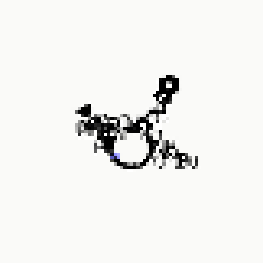 CC(C)(C)OC(=O)N[C@H]1CCCCC/C=C\[C@@H]2C[C@@]2(C(=O)NS(=O)(=O)C2CC2)NC(=O)[C@@H]2C[C@@H](CC(=O)N3Cc4ccccc4C3)CN2C1=O